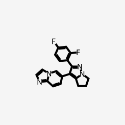 Fc1ccc(-c2nn3c(c2-c2ccc4nccn4c2)CCC3)c(F)c1